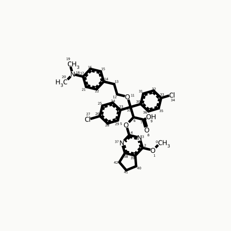 COc1nc(OC(C(=O)O)C(OCCc2ccc(N(C)C)cc2)(c2ccc(Cl)cc2)c2ccc(Cl)cc2)nc2c1CCC2